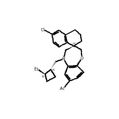 CC[C@@H]1CC[C@H]1CN1C[C@@]2(CCCc3cc(Cl)ccc32)COc2ccc(C(C)=O)cc21